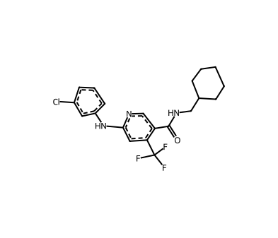 O=C(NCC1CCCCC1)c1cnc(Nc2cccc(Cl)c2)cc1C(F)(F)F